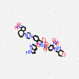 O=C(NS(=O)(=O)c1ccc(NCC2CCOCC2)c([N+](=O)[O-])c1)c1ccc(N2CCN([C@@H]3CCCCc4c3cccc4[N+](=O)[O-])CC2)cc1Oc1cnc2[nH]ccc2c1